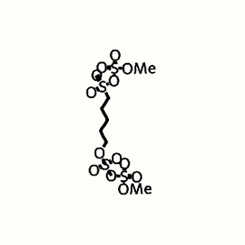 COS(=O)(=O)OS(=O)(=O)CCCCCOS(=O)(=O)OS(=O)(=O)OC